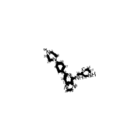 CN1CCN(c2ccc(-c3cc4nccnc4c(NCC4CNCCS4)n3)cc2)CC1